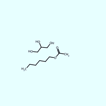 CCCCCCOC(C)=O.OCC(O)CO